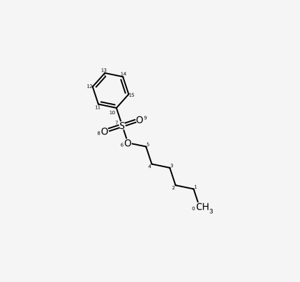 CCCCCCOS(=O)(=O)c1cc[c]cc1